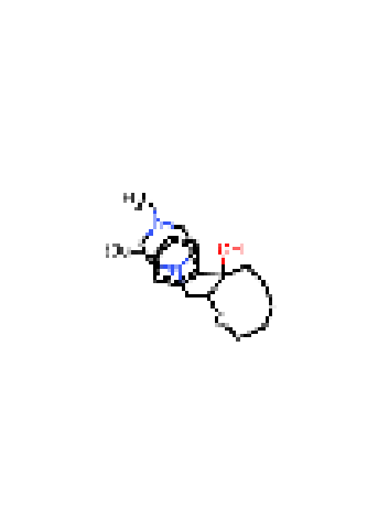 CN1CCN(CC2CCCCCCC2(O)c2ccc(C(C)(C)C)cc2)CC1